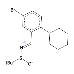 CC(C)(C)[S+]([O-])/N=C/c1cc(Br)ccc1C1CCCCC1